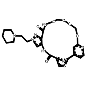 O=C1Nc2cn(CCN3CCCCC3)nc2C(=O)NCCOCCOc2cc(ccn2)-c2nc1cs2